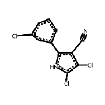 N#Cc1c(-c2cccc(Cl)c2)[nH]c(Cl)c1Cl